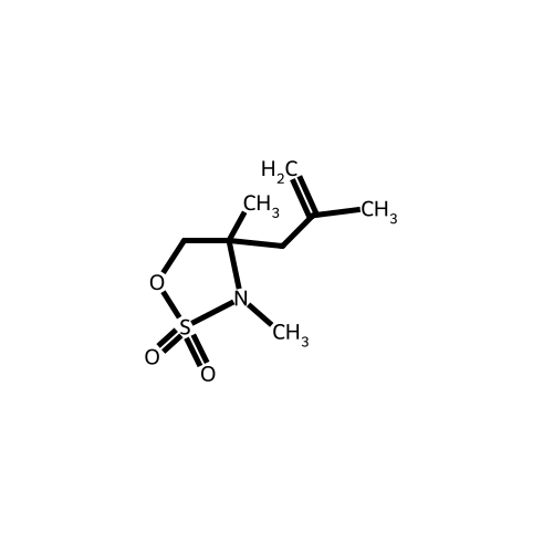 C=C(C)CC1(C)COS(=O)(=O)N1C